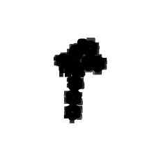 C1=CCCC(c2ccc(-c3ccc(C4N=C(c5cc(-c6cccc7oc8ccccc8c67)c6ccccc6c5)N=C(c5ccccc5)N4)cc3)cc2)=C1